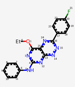 CCOc1nc(Nc2ccccc2)nc2nnc(-c3ccc(F)cc3)nc12